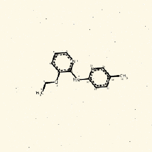 CCOc1cccnc1Nc1ccc(C)cn1